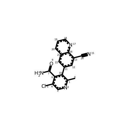 Cc1ncc(Cl)c(C(N)=O)c1-c1cc(C#N)c2ncccc2c1